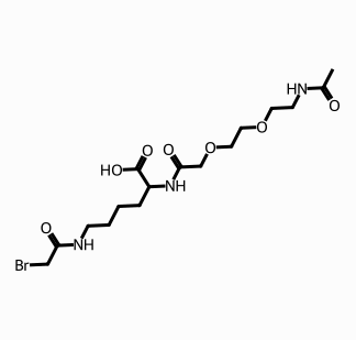 CC(=O)NCCOCCOCC(=O)NC(CCCCNC(=O)CBr)C(=O)O